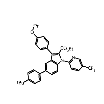 CCOC(=O)c1c(-c2ccc(OC(C)C)cc2)c2cc(-c3ccc(C(C)(C)C)cc3)ccc2n1-c1ccc(C(F)(F)F)cn1